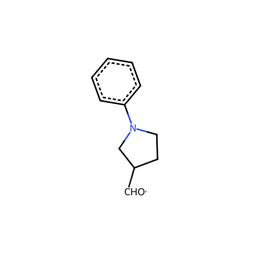 O=[C]C1CCN(c2ccccc2)C1